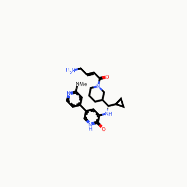 CNc1cc(-c2c[nH]c(=O)c(N[C@@H](C3CC3)C3CCCN(C(=O)/C=C/CN)C3)c2)ccn1